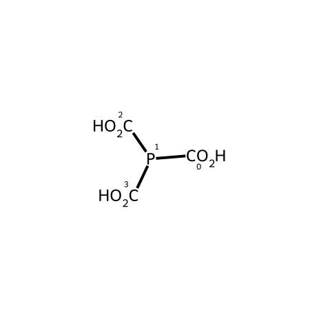 O=C(O)P(C(=O)O)C(=O)O